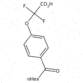 CCCCCCC(=O)c1ccc(OC(F)(F)C(=O)O)cc1